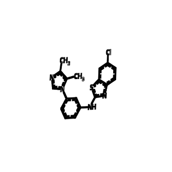 Cc1ncn(-c2cccc(Nc3nc4ccc(Cl)cc4s3)c2)c1C